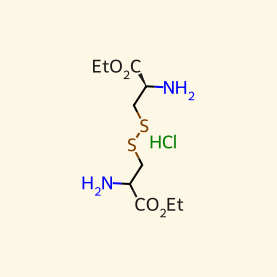 CCOC(=O)C(N)CSSC[C@H](N)C(=O)OCC.Cl